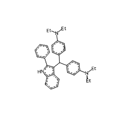 CCN(CC)c1ccc(C(c2ccc(N(CC)CC)cc2)c2c(-c3ccccc3)[nH]c3ccccc23)cc1